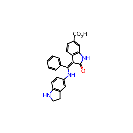 O=C1Nc2cc(C(=O)O)ccc2/C1=C(/Nc1ccc2c(c1)CCN2)c1ccccc1